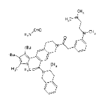 CCCCc1c(CCCC)c(-c2cc3c(cc2C(=O)N2Cc4ccccc4C[C@H]2C)CN(C(=O)Cc2cccc(N(C)CCN(C)C)c2)CC3)n(C)c1C.NC=O